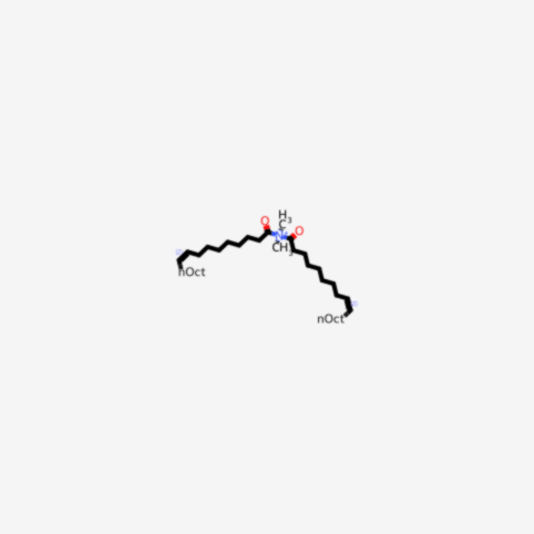 CCCCCCCC/C=C\CCCCCCCC(=O)[N+](C)(C)C(=O)CCCCCCC/C=C\CCCCCCCC